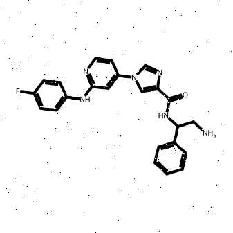 NCC(NC(=O)c1cn(-c2ccnc(Nc3ccc(F)cc3)c2)cn1)c1ccccc1